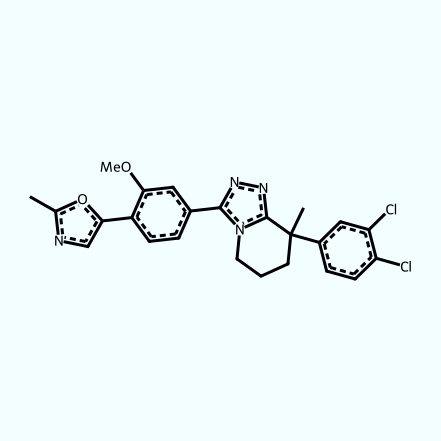 COc1cc(-c2nnc3n2CCCC3(C)c2ccc(Cl)c(Cl)c2)ccc1-c1cnc(C)o1